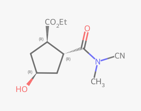 CCOC(=O)[C@@H]1C[C@H](O)C[C@H]1C(=O)N(C)C#N